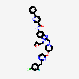 O=C(Nc1ccc2c(c1)nc(CN1CCC(Oc3ccnc(Cc4ccc(Cl)cc4F)n3)CC1)n2CC1CCO1)c1ccc(-c2ccccc2)nc1